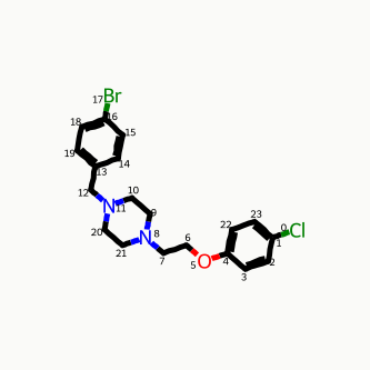 Clc1ccc(OCCN2CCN(Cc3ccc(Br)cc3)CC2)cc1